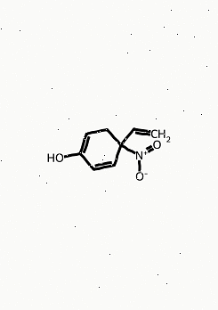 C=CC1([N+](=O)[O-])C=CC(O)=CC1